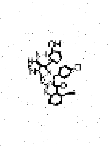 C#Cc1cccc2nc(Cn3nc(-c4cccc(O)c4)c4c(N)ncnc43)n(Cc3ccc(Cl)cc3)c(=O)c12